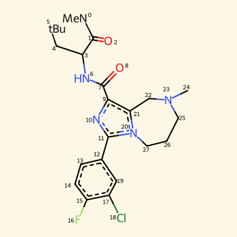 CNC(=O)C(CC(C)(C)C)NC(=O)c1nc(-c2ccc(F)c(Cl)c2)n2c1CN(C)CCC2